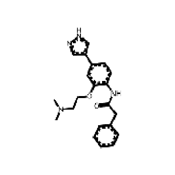 CN(C)CCOc1cc(-c2cn[nH]c2)ccc1NC(=O)Cc1ccccc1